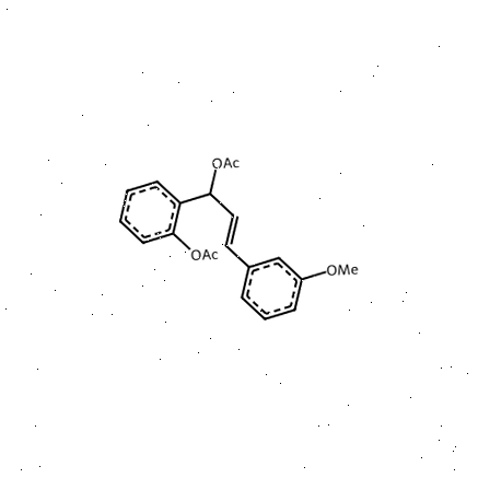 COc1cccc(C=CC(OC(C)=O)c2ccccc2OC(C)=O)c1